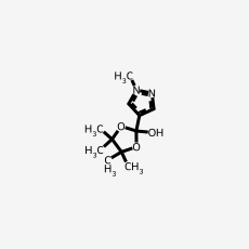 Cn1cc(C2(O)OC(C)(C)C(C)(C)O2)cn1